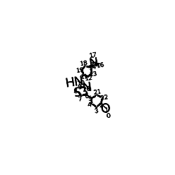 COc1ccc(-c2csc(Nc3ccc(N(C)C)cc3)n2)cc1